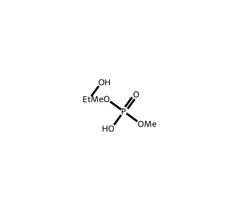 CCO.COP(=O)(O)OC